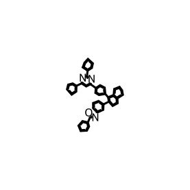 c1ccc(-c2cc(-c3ccc(-c4c(-c5ccc6oc(-c7ccccc7)nc6c5)ccc5ccccc45)cc3)nc(-c3ccccc3)n2)cc1